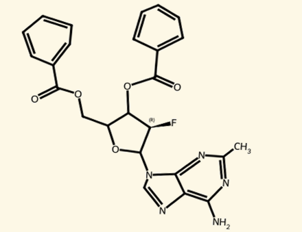 Cc1nc(N)c2ncn(C3OC(COC(=O)c4ccccc4)C(OC(=O)c4ccccc4)[C@H]3F)c2n1